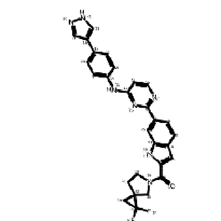 O=C(c1cc2ccc(-c3nccc(Nc4ccc(-c5cn[nH]c5)cc4)n3)cc2[nH]1)N1CCC2(C1)CC2(F)F